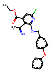 CCOC(=O)c1cc(Cl)nc(NCc2ccc(Oc3ccccc3)cc2)c1C(C)=N